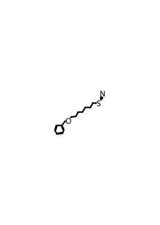 N#CSCCCCCCCOCc1ccccc1